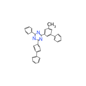 Cc1cc(-c2ccccc2)cc(-c2nc(-c3ccccc3)nc(-c3ccc(-c4ccccc4)cc3)n2)c1